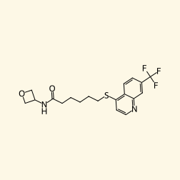 O=C(CCCCCSc1ccnc2cc(C(F)(F)F)ccc12)NC1COC1